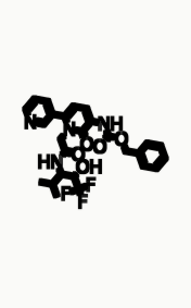 CC(C)C(NC(=O)Cn1c(-c2cccnc2)ccc(NC(=O)OCc2ccccc2)c1=O)C(O)C(F)(F)F